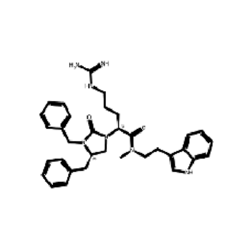 CN(CCc1c[nH]c2ccccc12)C(=O)[C@H](CCCNC(=N)N)N1C[C@@H](Cc2ccccc2)N(Cc2ccccc2)C1=O